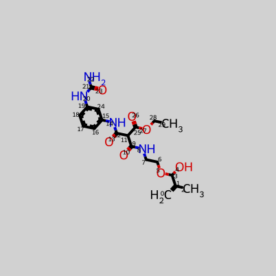 C=C(C)C(O)OCCNC(=O)C(C(=O)Nc1cccc(NC(N)=O)c1)C(=O)OCC